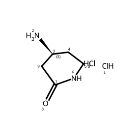 Cl.Cl.N[C@H]1CCNC(=O)C1